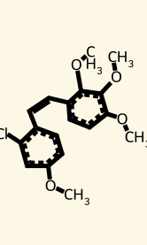 COc1ccc(/C=C\c2ccc(OC)c(OC)c2OC)c(Cl)c1